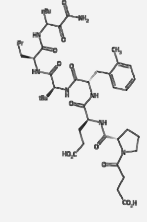 CCCCC(NC(=O)[C@H](CC(C)C)NC(=O)[C@@H](NC(=O)[C@H](Cc1ccccc1C)NC(=O)[C@H](CCC(=O)O)NC(=O)[C@@H]1CCCN1C(=O)CCC(=O)O)C(C)(C)C)C(=O)C(N)=O